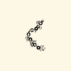 N#Cc1ccc(N2CCc3c(ncnc3Nc3ccc(C(=O)N4CCC(CN5CCN(c6cc7c(cc6F)C(=O)N(C6CCC(=O)NC6=O)C7)CC5)CC4)c(F)n3)C2)cc1C(F)(F)F